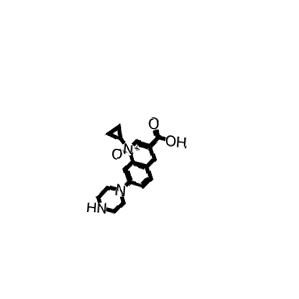 O=C(O)C1=C[N+]([O-])(C2CC2)c2cc(N3CCNCC3)ccc2C1